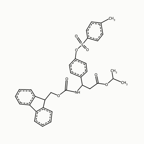 Cc1ccc(S(=O)(=O)Oc2ccc(C(CC(=O)OC(C)C)NC(=O)OCC3c4ccccc4-c4ccccc43)cc2)cc1